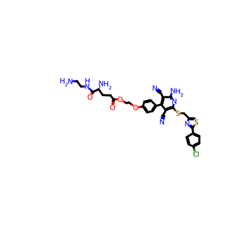 N#Cc1c(N)nc(SCc2csc(-c3ccc(Cl)cc3)n2)c(C#N)c1-c1ccc(OCCOC(=O)CC[C@@H](N)C(=O)NCCN)cc1